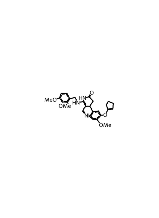 COc1ccc(CNC2=C(C=N)C(c3ccc(OC)c(OC4CCCC4)c3)CC(=O)N2)c(OC)c1